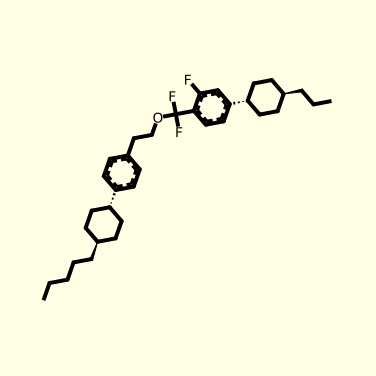 CCCCC[C@H]1CC[C@H](c2ccc(CCOC(F)(F)c3ccc([C@H]4CC[C@H](CCC)CC4)cc3F)cc2)CC1